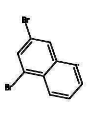 Brc1cc(Br)c2ccc[c]c2c1